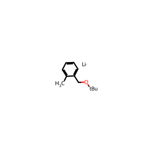 Cc1ccccc1COC(C)(C)C.[Li]